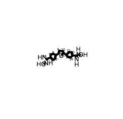 N=C(NO)c1ccc(-c2ccc(-c3ccc(C(=N)NO)cc3)o2)cc1